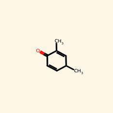 CC1=CC(C)C=CC1=O